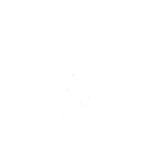 CCCCC(CC)CNc1cc(C)nc(C2CC2)n1